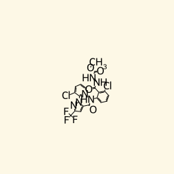 COC(=O)NNC(=O)c1c(Cl)cccc1NC(=O)c1cc(C(F)(F)F)nn1-c1ncccc1Cl